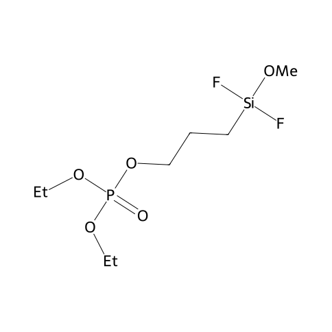 CCOP(=O)(OCC)OCCC[Si](F)(F)OC